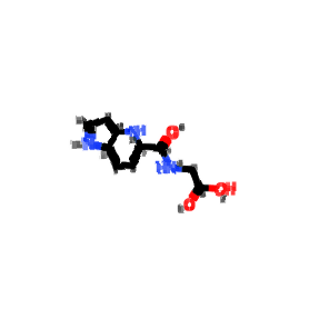 O=C(O)CNC(=O)c1ccc2nccc-2[nH]1